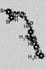 C[C@@H](CC(=O)N1CCC(O)(Cn2cnc3c(-c4ccc(CNC(=O)CCCCN5CCN(C[C@H](O)Cn6c7ccc(Br)cc7c7cc(Br)ccc76)CC5)cc4)n(C)nc3c2=O)CC1)c1ccccc1